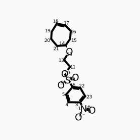 O=[N+]([O-])c1ccc(S(=O)(=O)OCCO[C@H]2CCC=CCCC2)cc1